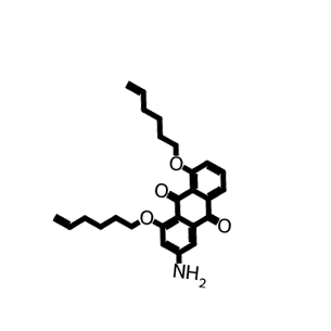 C=CCCCCOc1cccc2c1C(=O)c1c(OCCCCC=C)cc(N)cc1C2=O